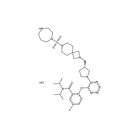 CC(C)N(C(=O)c1cc(F)ccc1Oc1nncnc1N1CC[C@@H](CN2CC3(CCN(S(=O)(=O)N4CCCNCC4)CC3)C2)C1)C(C)C.Cl